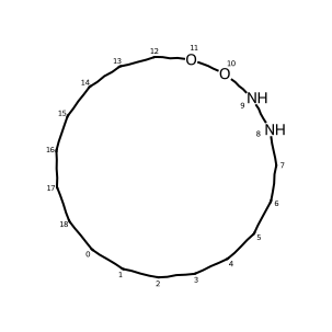 C1CCCCCCCNNOOCCCCCCC1